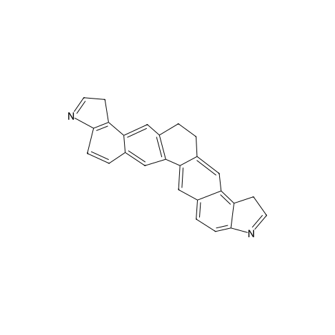 C1=Nc2ccc3cc4c(cc3c2C1)CCc1cc2c3c(ccc2cc1-4)N=CC3